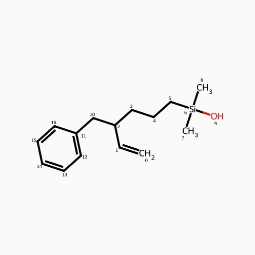 C=CC(CCC[Si](C)(C)O)Cc1ccccc1